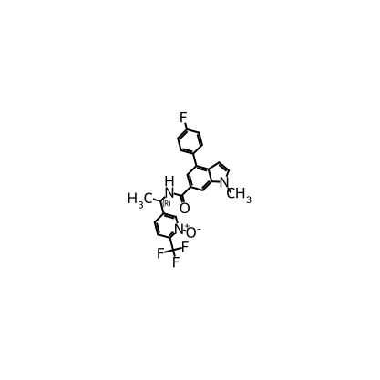 C[C@@H](NC(=O)c1cc(-c2ccc(F)cc2)c2ccn(C)c2c1)c1ccc(C(F)(F)F)[n+]([O-])c1